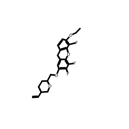 C=CC1CCC(COc2cc3c(c(F)c2F)Oc2c(ccc(OCC)c2F)C3)OC1